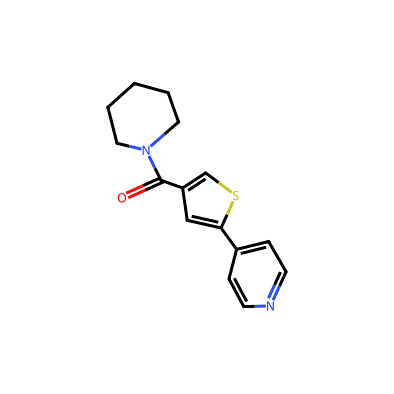 O=C(c1csc(-c2ccncc2)c1)N1CCCCC1